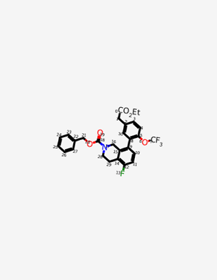 CCOC(=O)Cc1ccc(OC(F)(F)F)c(-c2ccc(F)c3c2CN(C(=O)OCc2ccccc2)CC3)c1